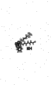 CCCCCCCCCOP(=O)(OCCCCCCCCC)Oc1ccccc1.[KH]